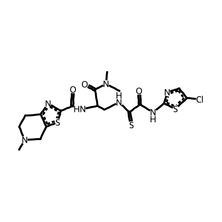 CN1CCc2nc(C(=O)NC(CNC(=S)C(=O)Nc3ncc(Cl)s3)C(=O)N(C)C)sc2C1